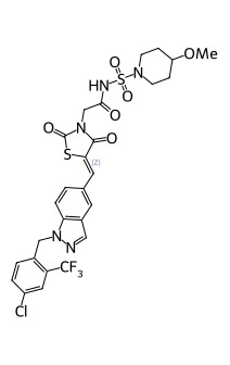 COC1CCN(S(=O)(=O)NC(=O)CN2C(=O)S/C(=C\c3ccc4c(cnn4Cc4ccc(Cl)cc4C(F)(F)F)c3)C2=O)CC1